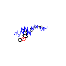 Nc1ncnc2c1c(-c1ccc(OC3=CCCC=C3)cc1)nn2C1CCN(C2CN(CC3CCNC3)C2)CC1